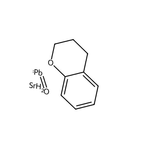 [O]=[Pb].[SrH2].c1ccc2c(c1)CCCO2